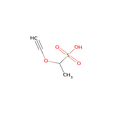 C#COC(C)S(=O)(=O)O